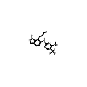 CCCCc1c(Nc2ncc(C(F)(F)F)c(NC)n2)ccc2cn[nH]c12